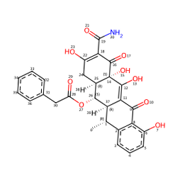 C[C@H]1c2cccc(O)c2C(=O)C2=C(O)[C@]3(O)C(=O)C(C(N)=O)=C(O)C[C@@H]3[C@@H](OC(=O)Cc3ccccc3)[C@@H]21